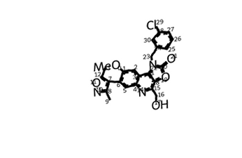 COc1cc2c(cc1-c1c(C)noc1C)nc(CO)c1oc(=O)n(Cc3cccc(Cl)c3)c12